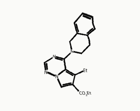 CCOC(=O)c1cn2ncnc(N3CCc4ccccc4C3)c2c1CC